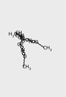 CCCCCCCCOc1ccc(N=Nc2ccc(C(=O)OC[C@H](COP(=O)([O-])OCC[N+](C)(C)C)OC(=O)c3ccc(N=Nc4ccc(OCCCCCCCC)cc4)cc3)cc2)cc1